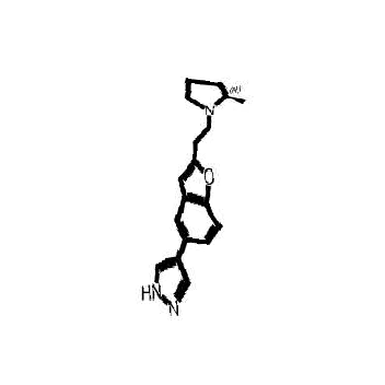 C[C@@H]1CCCN1CCc1cc2cc(-c3cn[nH]c3)ccc2o1